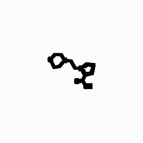 O=C(O)c1cccn1CCN1CCOCC1